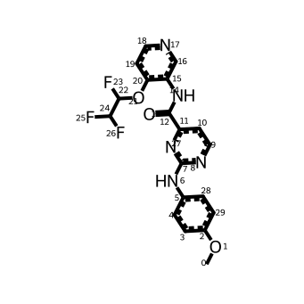 COc1ccc(Nc2nccc(C(=O)Nc3cnccc3OC(F)C(F)F)n2)cc1